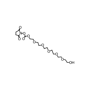 O=C(OCCOCCOCCOCCOCCOCCO)ON1C(=O)CCC1=O